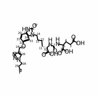 O=C(O)CCC(NC(=O)N[C@@H](CCCCn1c(=O)[nH]c2ccc(OCc3cn(CCF)nn3)cc21)C(=O)O)C(=O)O